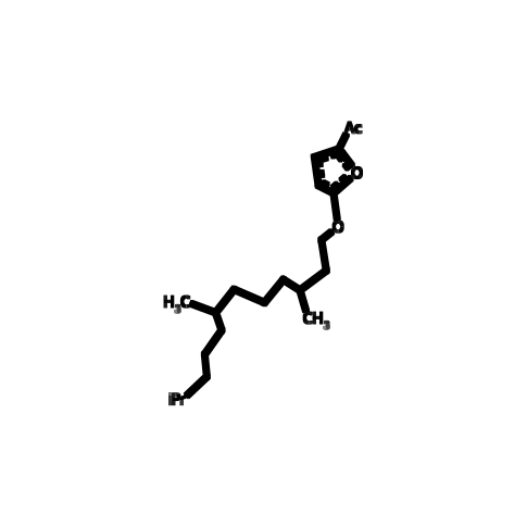 CC(=O)c1ccc(OCCC(C)CCCC(C)CCCC(C)C)o1